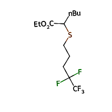 CCCCC(SCCCC(F)(F)C(F)(F)F)C(=O)OCC